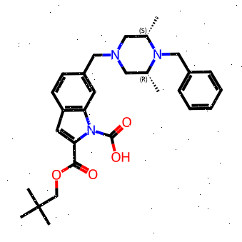 C[C@@H]1CN(Cc2ccc3cc(C(=O)OCC(C)(C)C)n(C(=O)O)c3c2)C[C@H](C)N1Cc1ccccc1